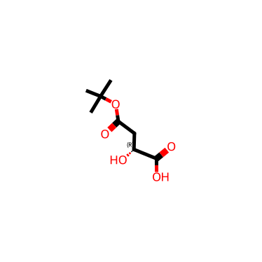 CC(C)(C)OC(=O)C[C@@H](O)C(=O)O